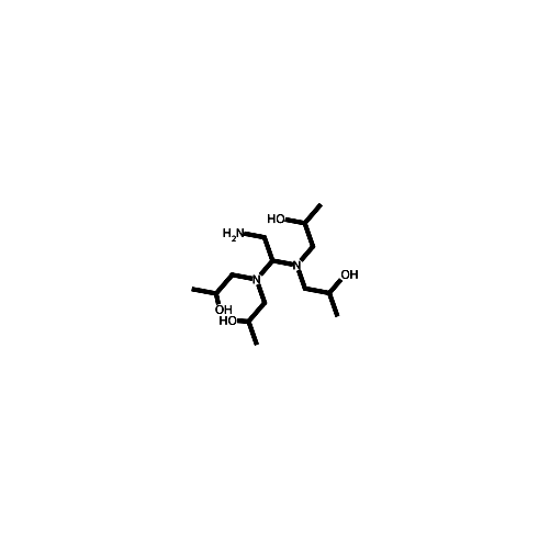 CC(O)CN(CC(C)O)C(CN)N(CC(C)O)CC(C)O